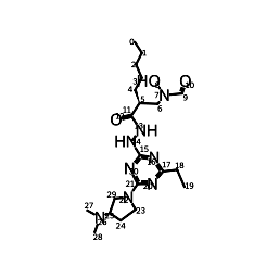 CCCCC[C@@H](CN(O)C=O)C(=O)NNc1nc(CC)nc(N2CC[C@@H](N(C)C)C2)n1